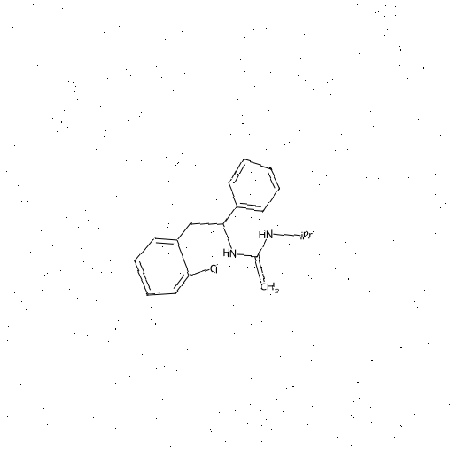 C=C(NC(C)C)NC(Cc1ccccc1Cl)c1ccccc1